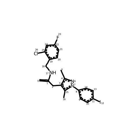 C=C(Cc1c(C)nn(-c2ccc(I)cc2)c1C)NCc1ccc(F)cc1Cl